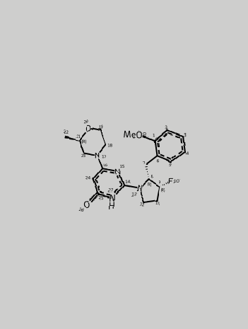 COc1ccccc1C[C@@H]1[C@H](F)CCN1c1nc(N2CCO[C@H](C)C2)cc(=O)[nH]1